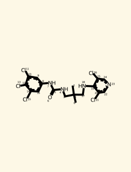 CC(C)(CNC(=O)Nc1cc(Cl)c(Cl)c(Cl)c1)CNc1c(Cl)cncc1Cl